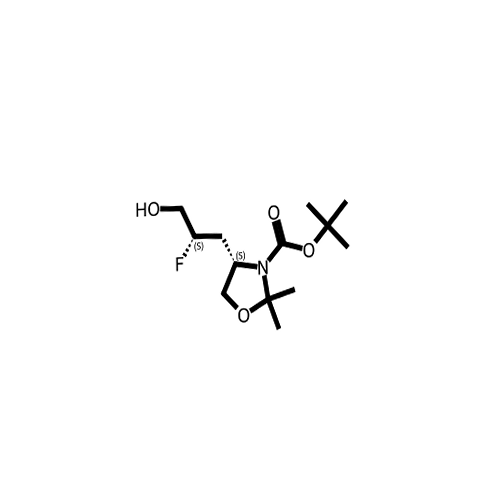 CC(C)(C)OC(=O)N1[C@@H](C[C@H](F)CO)COC1(C)C